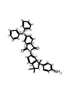 CC1(C)CC(C)(c2ccc(N)cc2)c2cc(N3C(=O)c4ccc(P(c5ccccc5)c5ccccc5)cc4C3=O)ccc21